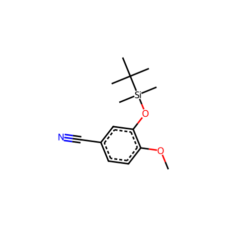 COc1ccc(C#N)cc1O[Si](C)(C)C(C)(C)C